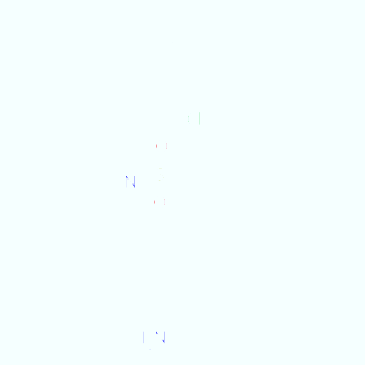 NCc1ccc(CN(CCCc2ccccc2)S(=O)(=O)c2ccccc2Cl)cc1